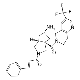 N[C@@H]1C[C@H]2CN(C(=O)C=Cc3ccccc3)C[C@@]2(C(=O)N2CCc3ncc(C(F)(F)F)cc3C2)C1